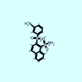 Nc1cccc(S(=O)(=O)c2ccc3ccccc3c2S(N)(=O)=O)c1